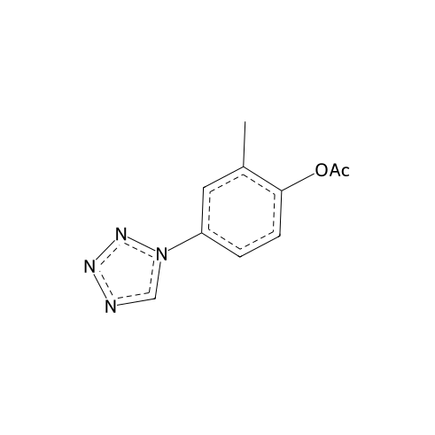 CC(=O)Oc1ccc(-n2cnnn2)cc1C